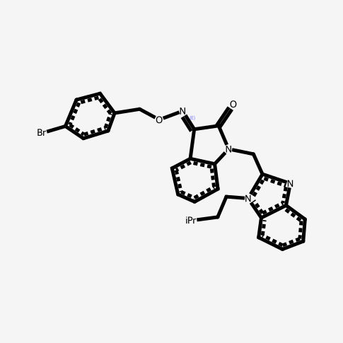 CC(C)CCn1c(CN2C(=O)/C(=N/OCc3ccc(Br)cc3)c3ccccc32)nc2ccccc21